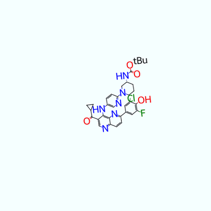 CC(C)(C)OC(=O)N[C@@H]1CCCN(c2ccc(Nc3c(C(=O)C4CC4)cnc4ccc(-c5cc(F)c(O)c(Cl)c5)nc34)cn2)C1